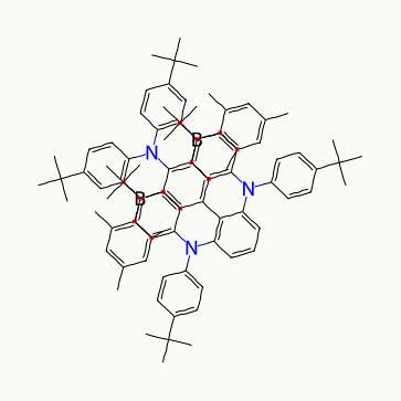 Cc1cc(C)c(B2c3cc(C(C)(C)C)ccc3N3c4ccc(C(C)(C)C)cc4B(c4c(C)cc(C)cc4C)c4cc(-c5c(N(c6ccc(C(C)(C)C)cc6)c6ccc(C(C)(C)C)cc6)cccc5N(c5ccc(C(C)(C)C)cc5)c5ccc(C(C)(C)C)cc5)cc2c43)c(C)c1